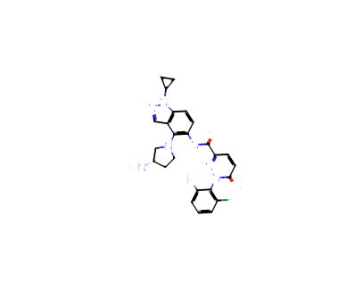 N[C@@H]1CCN(c2c(NC(=O)c3ccc(=O)n(-c4c(F)cccc4F)n3)ccc3c2cnn3C2CC2)C1